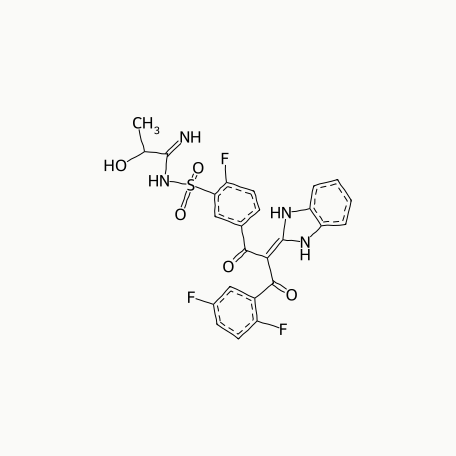 CC(O)C(=N)NS(=O)(=O)c1cc(C(=O)C(C(=O)c2cc(F)ccc2F)=C2Nc3ccccc3N2)ccc1F